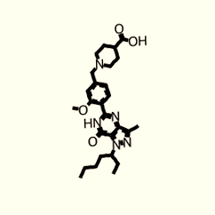 CCCCC(CC)n1nc(C)c2nc(-c3ccc(CN4CCC(C(=O)O)CC4)cc3OC)[nH]c(=O)c21